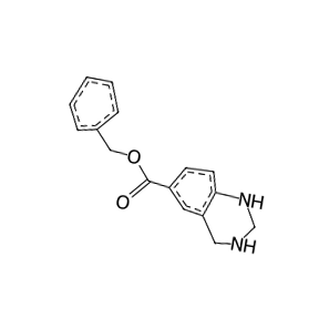 O=C(OCc1ccccc1)c1ccc2c(c1)CNCN2